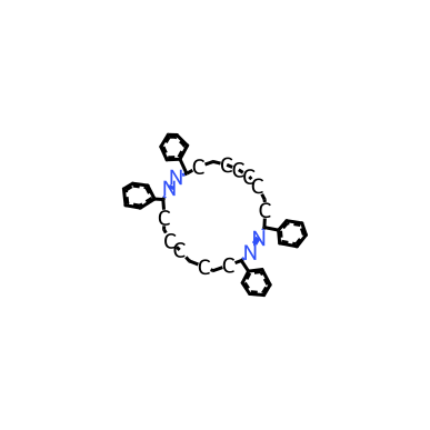 c1ccc(C2CCCCCCCCC(c3ccccc3)N=NC(c3ccccc3)CCCCCCCCC(c3ccccc3)N=N2)cc1